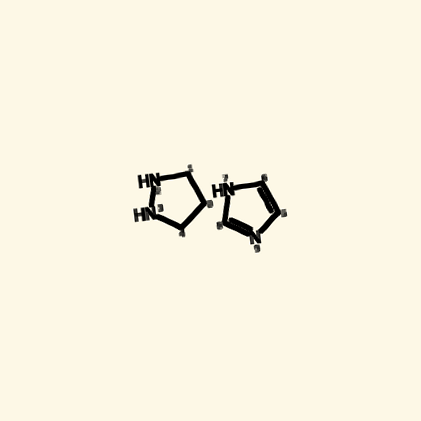 C1CNNC1.c1c[nH]cn1